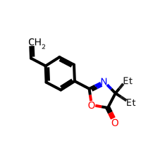 C=Cc1ccc(C2=NC(CC)(CC)C(=O)O2)cc1